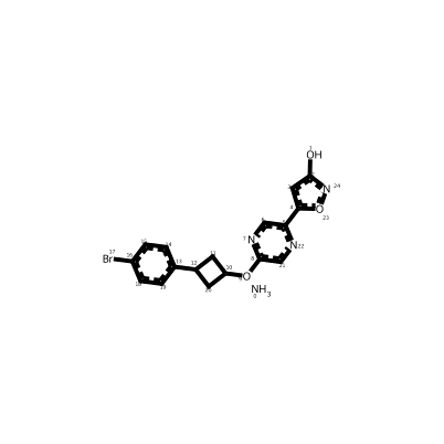 N.Oc1cc(-c2cnc(OC3CC(c4ccc(Br)cc4)C3)cn2)on1